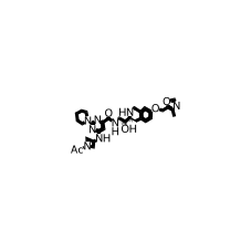 CC(=O)N1CC(Nc2cc(C(=O)NC[C@@H](O)[C@@H]3Cc4ccc(OCc5ocnc5C)cc4CN3)nc(N3CCCCC3)n2)C1